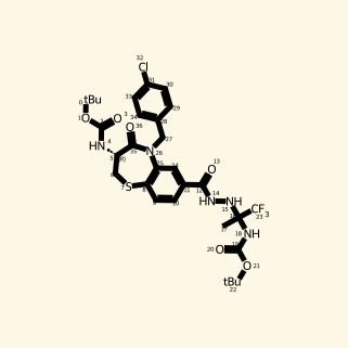 CC(C)(C)OC(=O)N[C@H]1CSc2ccc(C(=O)NNC(C)(NC(=O)OC(C)(C)C)C(F)(F)F)cc2N(Cc2ccc(Cl)cc2)C1=O